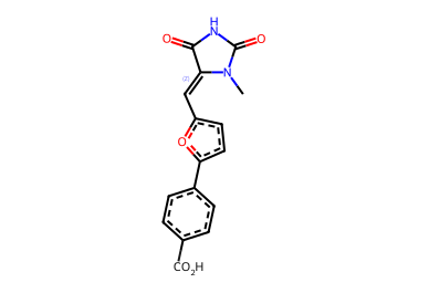 CN1C(=O)NC(=O)/C1=C/c1ccc(-c2ccc(C(=O)O)cc2)o1